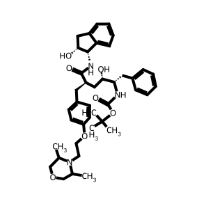 CC1COCC(C)N1CCOc1ccc(C[C@H](C[C@H](O)[C@H](Cc2ccccc2)NC(=O)OC(C)(C)C)C(=O)N[C@H]2c3ccccc3C[C@H]2O)cc1